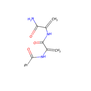 C=C(NC(=O)C(=C)NC(=O)C(C)C)C(N)=O